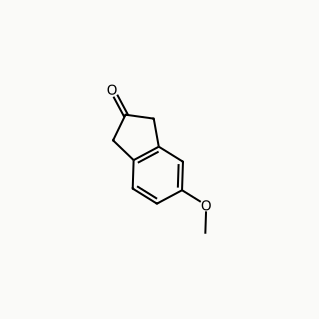 COc1ccc2c(c1)CC(=O)C2